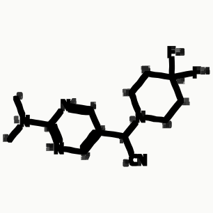 CN(C)c1ncc(C(C#N)N2CCC(F)(F)CC2)cn1